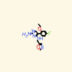 CCOc1cc(F)ccc1-c1cnc(N)nc1NCc1cnco1